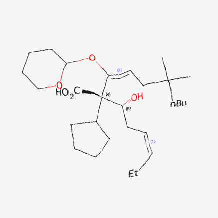 CC/C=C\C[C@@H](O)[C@@](C(=O)O)(/C(=C\CC(C)(C)CCCC)OC1CCCCO1)C1CCCC1